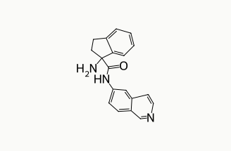 NC1(C(=O)Nc2ccc3cnccc3c2)CCc2ccccc21